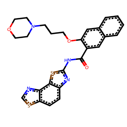 O=C(Nc1nc2ccc3scnc3c2s1)c1cc2ccccc2cc1OCCCN1CCOCC1